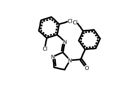 O=C(c1cccc(Cl)c1)N1CC=NC1=Nc1c(Cl)cccc1Cl